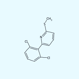 CSc1cccc(-c2c(Cl)cccc2Cl)n1